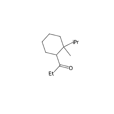 CCC(=O)C1CCCCC1(C)C(C)C